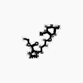 CCOC(=O)c1nnnn1CCCCOc1cc(F)ccc1Br